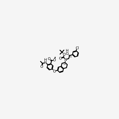 COC(=O)c1cc(Oc2ccc3c(c2)C[C@@H](N(C[C@@H](O)c2cccc(Cl)c2)C(=O)OC(C)(C)C)CC3)ccc1NC(C)=O